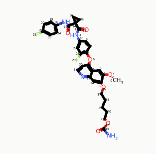 COc1cc2c(Oc3ccc(NC(=O)C4(C(=O)Nc5ccc(F)cc5)CC4)cc3F)ccnc2cc1OCCCCCOC(N)=O